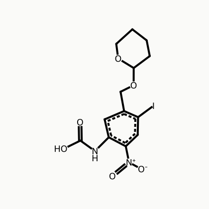 O=C(O)Nc1cc(COC2CCCCO2)c(I)cc1[N+](=O)[O-]